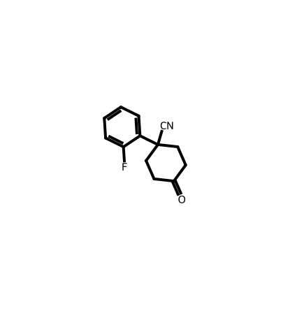 N#CC1(c2ccccc2F)CCC(=O)CC1